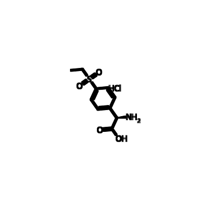 CCS(=O)(=O)c1ccc([C@@H](N)C(=O)O)cc1.Cl